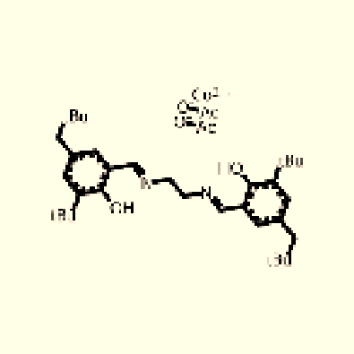 CC(=O)[O-].CC(=O)[O-].CC(C)(C)Cc1cc(C=NCCN=Cc2cc(CC(C)(C)C)cc(C(C)(C)C)c2O)c(O)c(C(C)(C)C)c1.[Co+2]